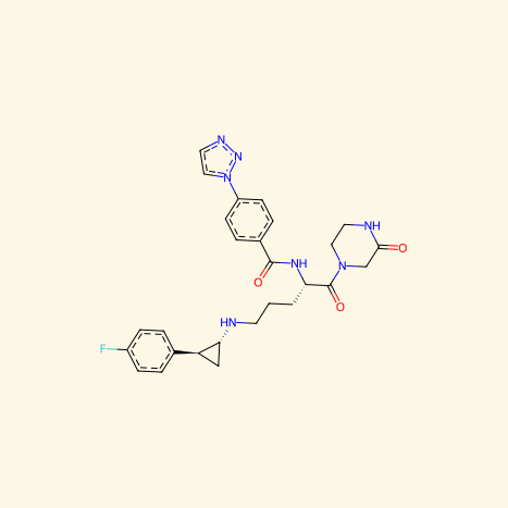 O=C1CN(C(=O)[C@H](CCCN[C@@H]2C[C@H]2c2ccc(F)cc2)NC(=O)c2ccc(-n3ccnn3)cc2)CCN1